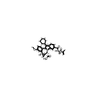 C=C(C)S(=O)(=O)NC(=O)c1ccc2c(C3CCCCC3)c3n(c2c1)C[C@@]1(C(=O)O)C[C@H]1c1cc(OC)ccc1-3